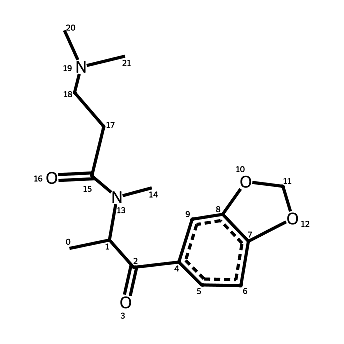 CC(C(=O)c1ccc2c(c1)OCO2)N(C)C(=O)CCN(C)C